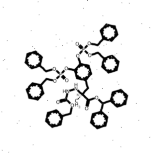 C[C@@](Cc1ccc(OP(=O)(OCc2ccccc2)OCc2ccccc2)c(OP(=O)(OCc2ccccc2)OCc2ccccc2)c1)(NNC(=O)OCc1ccccc1)C(=O)OC(c1ccccc1)c1ccccc1